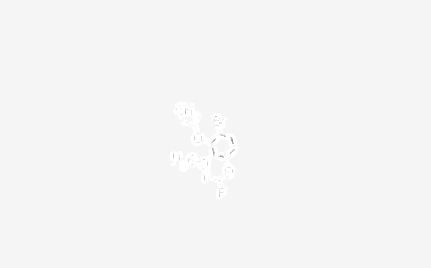 CCCOc1c(Br)ccc(OC(F)F)c1OC